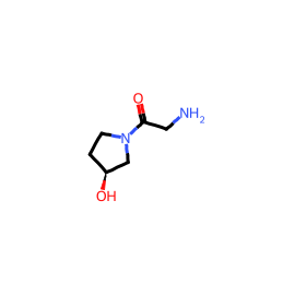 NCC(=O)N1CC[C@H](O)C1